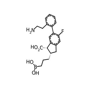 NCCc1ccccc1-c1cc2c(cc1F)C[C@H](CCCB(O)O)[C@@H]2C(=O)O